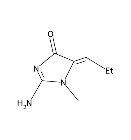 CCC=C1C(=O)N=C(N)N1C